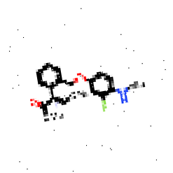 CCCCNc1ccc(OCc2ccccc2/C(=C\OC)C(=O)OC)cc1F